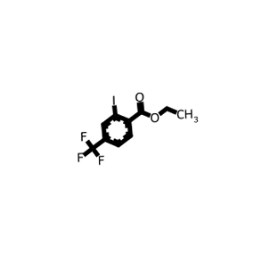 CCOC(=O)c1ccc(C(F)(F)F)cc1I